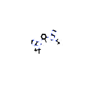 [2H]C([2H])([2H])C([2H])(C)N1c2nccnc2N(c2cccc(N3c4nccnc4N(C([2H])(C([2H])([2H])[2H])C([2H])([2H])[2H])[C@@H]3C)c2C)[C@@H]1C